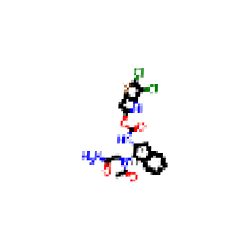 CC(=O)N(CC(N)=O)[C@@H]1c2ccccc2C[C@H]1NC(=O)Oc1cc2sc(Cl)c(Cl)c2[nH]1